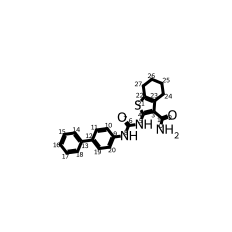 NC(=O)c1c(NC(=O)Nc2ccc(-c3ccccc3)cc2)sc2c1CCCC2